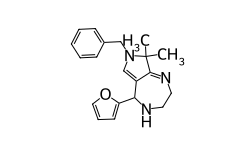 CC1(C)C2=NCCNC(c3ccco3)C2=CN1Cc1ccccc1